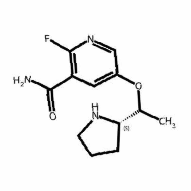 CC(Oc1cnc(F)c(C(N)=O)c1)[C@@H]1CCCN1